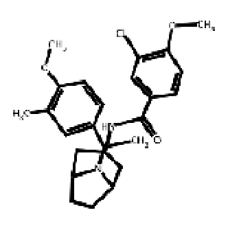 COc1ccc(C(C)N2C3CCC2CC(NC(=O)c2ccc(OC)c(Cl)c2)C3)cc1C